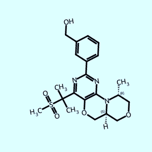 C[C@@H]1COC[C@H]2COc3c(nc(-c4cccc(CO)c4)nc3C(C)(C)S(C)(=O)=O)N21